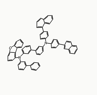 c1ccc(-c2cccc(N(c3cccc(-c4cccc(N(c5ccc(-c6ccc7ccccc7c6)cc5)c5ccc(-c6cccc7ccccc67)cc5)c4)c3)c3cccc4oc5ccccc5c34)c2)cc1